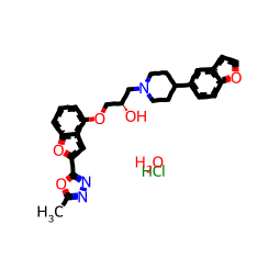 Cc1nnc(-c2cc3c(OC[C@@H](O)CN4CCC(c5ccc6occc6c5)CC4)cccc3o2)o1.Cl.O